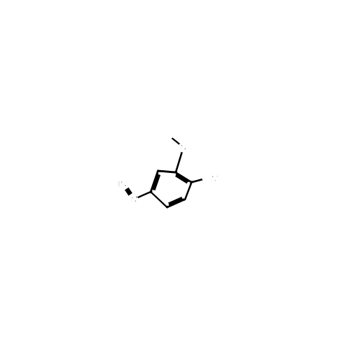 COc1ccc(N=N)cc1NC=O